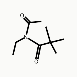 CCN(C(C)=O)C(=O)C(C)(C)C